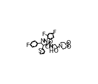 CC1(C(=O)NCC(=O)N2CCS(=O)(=O)CC2)C(c2cccs2)C(c2ccc(F)cc2)=NN1c1ccc(F)cc1F